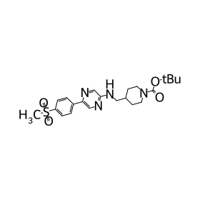 CC(C)(C)OC(=O)N1CCC(CNc2cnc(-c3ccc(S(C)(=O)=O)cc3)cn2)CC1